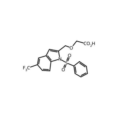 O=C(O)COCc1cc2cc(C(F)(F)F)ccc2n1S(=O)(=O)c1ccccc1